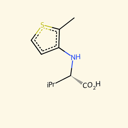 Cc1sccc1N[C@H](C(=O)O)C(C)C